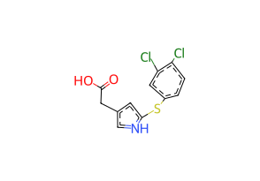 O=C(O)Cc1c[nH]c(Sc2ccc(Cl)c(Cl)c2)c1